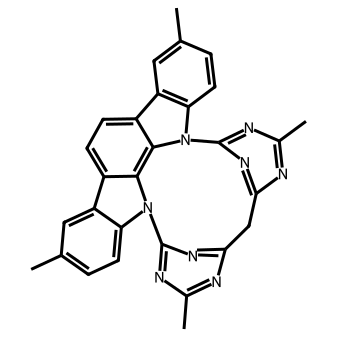 Cc1ccc2c(c1)c1ccc3c4cc(C)ccc4n4c3c1n2-c1nc(C)nc(n1)Cc1nc(C)nc-4n1